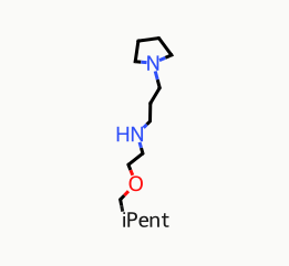 CCCC(C)COCCNCCCN1CCCC1